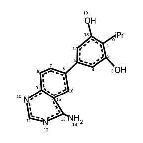 CC(C)c1c(O)cc(-c2ccc3ncnc(N)c3c2)cc1O